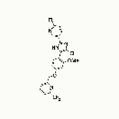 COc1cc(OCc2cccc(C(F)(F)F)n2)ccc1-c1[nH]c(-c2ccc(Cl)nc2)nc1Cl